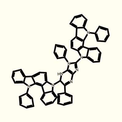 c1ccc(C2=Nc3nc(-n4c5ccccc5c5c4ccc4c6ccccc6n(-c6ccccc6)c45)n(-c4ccccc4)c3NC2n2c3ccccc3c3c4c(ccc32)c2ccccc2n4-c2ccccc2)cc1